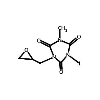 Cn1c(=O)n(I)c(=O)n(CC2CO2)c1=O